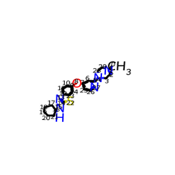 CN1CCN(c2cc(Oc3ccc4nc(NC5CCCCC5)sc4c3)ccn2)CC1